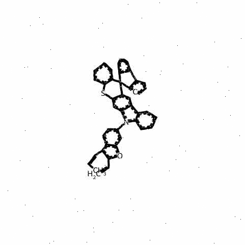 C=Cc1oc2cc(-n3c4ccccc4c4cc5c(cc43)Sc3ccccc3C53c4ccccc4-c4ccccc43)ccc2c1/C=C\C